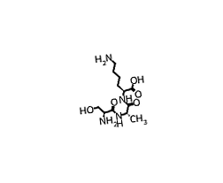 C[C@H](NC(=O)[C@@H](N)CO)C(=O)N[C@@H](CCCCN)C(=O)O